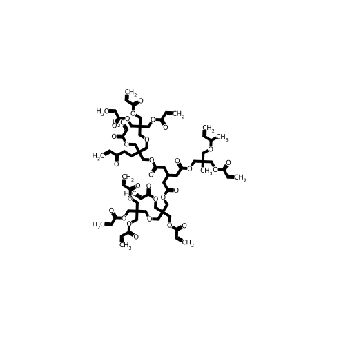 C=CC(=O)CCC(COCC(COC(=O)C=C)(COC(=O)C=C)COC(=O)C=C)(COC(=O)C=C)COC(=O)CC(CC(=O)OCC(C)(COC(=O)C=C)COC(C)C=C)CC(=O)OCC(COCC(COC(=O)C=C)(COC(=O)C=C)COC(=O)C=C)(COC(=O)C=C)COC(=O)C=C